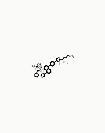 CCCC[C@H](C)c1ncc(-c2ccc(-c3cccc4c(-c5cnc([C@@H]6CCCN6C(=O)OC(C)(C)C)[nH]5)cccc34)cc2)[nH]1